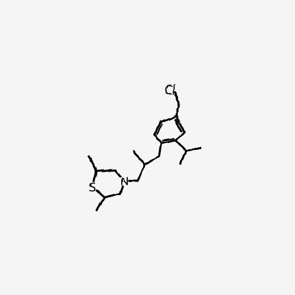 CC(Cc1ccc(CCl)cc1C(C)C)CN1CC(C)SC(C)C1